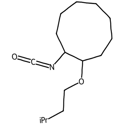 CC(C)CCOC1CCCCCCCC1N=C=O